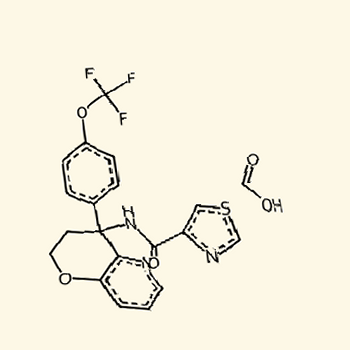 O=C(NC1(c2ccc(OC(F)(F)F)cc2)CCOc2cccnc21)c1cscn1.O=CO